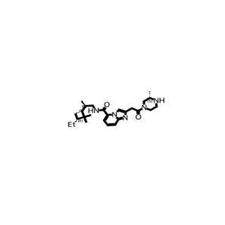 CC[C@@H]1C[C@H]([C@@H](C)CNC(=O)c2cccc3nc(CC(=O)N4CCN[C@@H](C)C4)cn23)C1(C)C